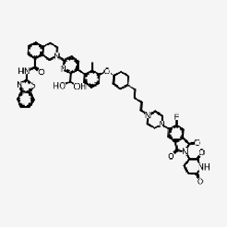 Cc1c(O[C@H]2CC[C@H](CCCCN3CCN(c4cc5c(cc4F)C(=O)N(C4CCC(=O)NC4=O)C5=O)CC3)CC2)cccc1-c1ccc(N2CCc3cccc(C(=O)Nc4nc5ccccc5s4)c3C2)nc1C(O)O